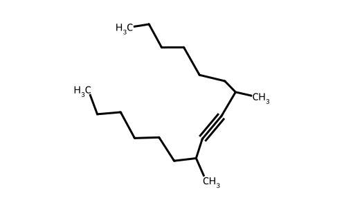 CCCCCCC(C)C#CC(C)CCCCCC